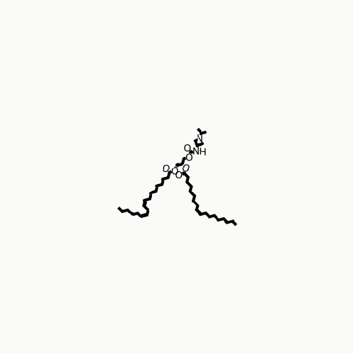 CCCCC/C=C\C/C=C\CCCCCCCC(=O)OCC(COC(=O)NC1CN(C(C)C)C1)OC(=O)CCCCCCC/C=C\CCCCCCCC